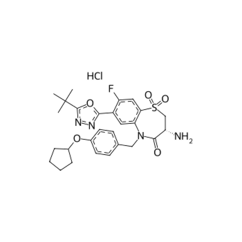 CC(C)(C)c1nnc(-c2cc3c(cc2F)S(=O)(=O)C[C@H](N)C(=O)N3Cc2ccc(OC3CCCC3)cc2)o1.Cl